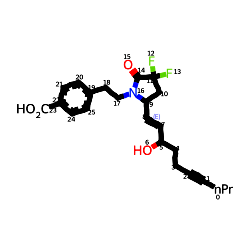 CCCC#CCCC(O)/C=C/C1CC(F)(F)C(=O)N1CCc1ccc(C(=O)O)cc1